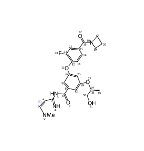 CN/C=C\C(=N)NC(=O)c1cc(Oc2ccc(C(=O)N3CCC3)cc2F)cc(O[C@@H](C)CO)c1